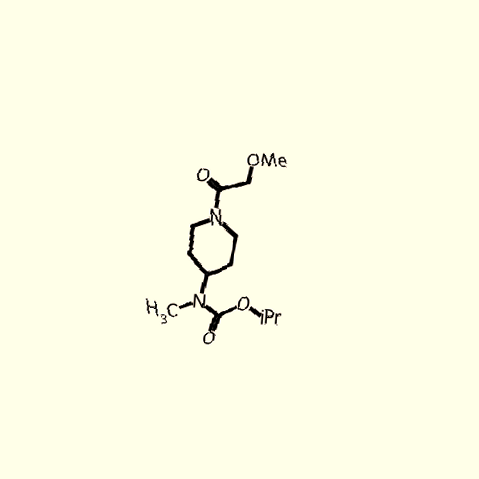 COCC(=O)N1CCC(N(C)C(=O)OC(C)C)CC1